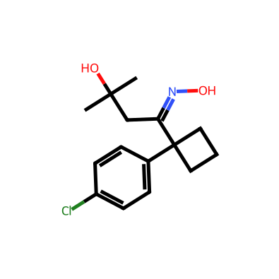 CC(C)(O)C/C(=N/O)C1(c2ccc(Cl)cc2)CCC1